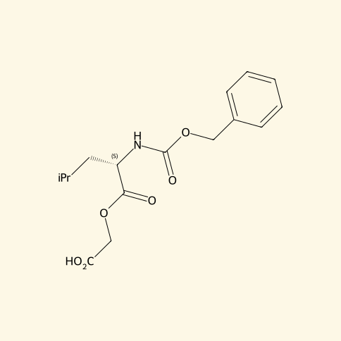 CC(C)C[C@H](NC(=O)OCc1ccccc1)C(=O)OCC(=O)O